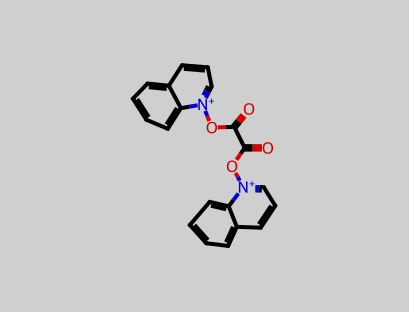 O=C(O[n+]1cccc2ccccc21)C(=O)O[n+]1cccc2ccccc21